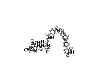 CO[C@H](C)c1c(NC(=O)Nc2cc(Cl)cnc2OCCNC(=O)C2CCC(C(=O)N3CCN(CC4CCN(c5ccc(C6CCC(=O)NC6=O)cc5)CC4)CC3)CC2)cnc2cc(Cl)nn12